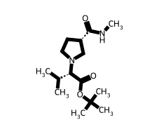 CNC(=O)[C@H]1CCN([C@H](C(=O)OC(C)(C)C)C(C)C)C1